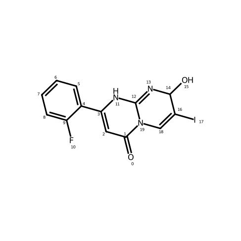 O=C1C=C(c2ccccc2F)NC2=NC(O)C(I)=CN12